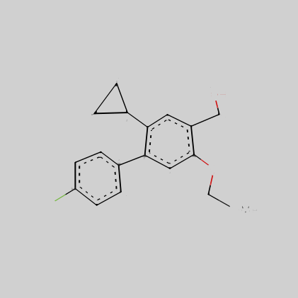 COCOc1cc(-c2ccc(F)cc2)c(C2CC2)cc1CO